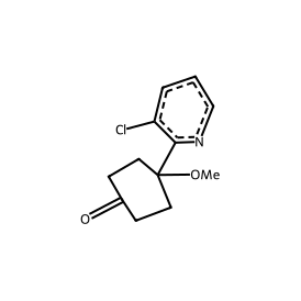 COC1(c2ncccc2Cl)CCC(=O)CC1